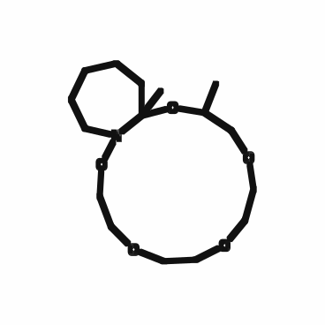 CC1COCCOCCOCCON2CCCCCC2(C)O1